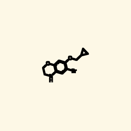 Brc1cc2c(cc1OCC1CC1)OCCN2